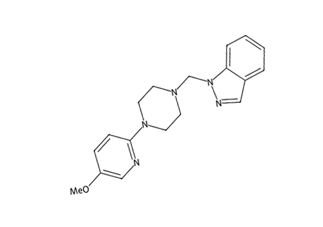 COc1ccc(N2CCN(Cn3ncc4ccccc43)CC2)nc1